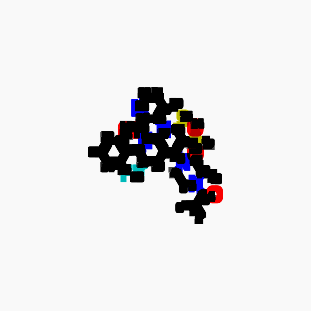 C=C(C)C(=O)N1CCN(c2c(S(C)(=O)=O)c(=S)n(-c3c(C)ccnc3C(C)C)c3nc(-c4c(O)cccc4F)c(F)cc23)C[C@H]1C